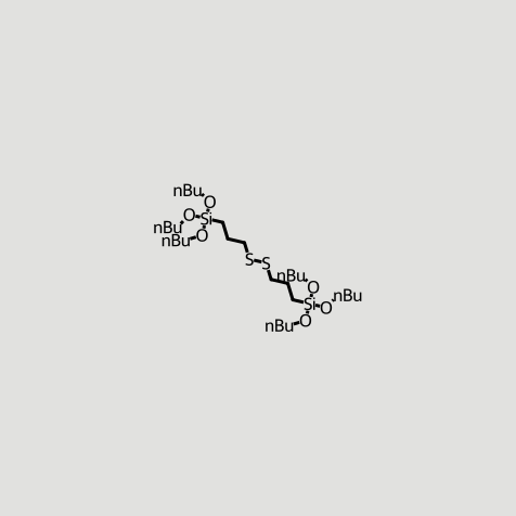 CCCCO[Si](CCCSSCCC[Si](OCCCC)(OCCCC)OCCCC)(OCCCC)OCCCC